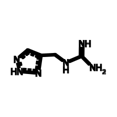 N=C(N)NCc1cn[nH]n1